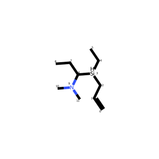 C=CC[SiH](CC)C(CC)N(C)C